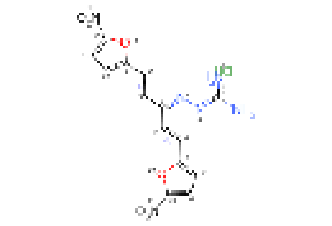 Cl.NC(N)=NN=C(/C=C/c1ccc([N+](=O)[O-])o1)/C=C/c1ccc([N+](=O)[O-])o1